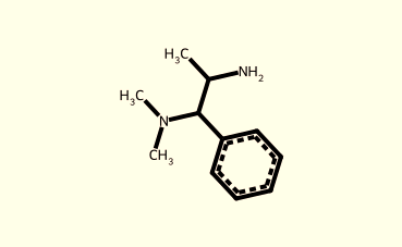 CC(N)C(c1ccccc1)N(C)C